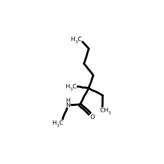 CCCCC(C)(CC)C(=O)NC